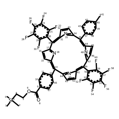 C[Si](C)(C)CCOC(=O)c1ccc(C2=C3C=CC(=N3)C(c3c(F)c(F)c(F)c(F)c3F)=C3C=CC(=N3)C(c3ccc(I)cc3)=C3C=CC(=N3)C(c3c(F)c(F)c(F)c(F)c3F)=C3C=CC2=N3)cc1